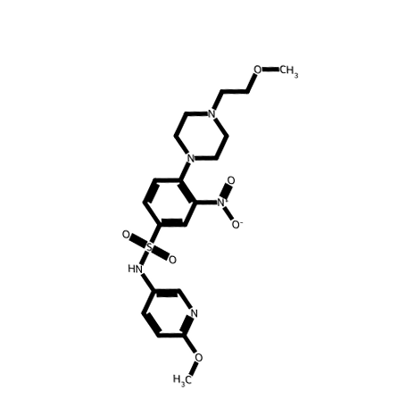 COCCN1CCN(c2ccc(S(=O)(=O)Nc3ccc(OC)nc3)cc2[N+](=O)[O-])CC1